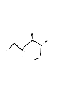 O=C[C@@H](OS(=O)(=O)O)[C@H](O)[C@H](O)CO